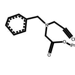 C#CCN(CC(=O)OC(C)C)Cc1ccccc1